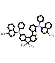 Cc1ccc(N(c2ccccc2)c2ccc3c(c2)-c2c(ccc4sc5c(N(c6ccccc6)c6ccc(C)c7ccccc67)cccc5c24)C3(C)C)c2ccccc12